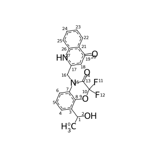 CC(O)c1cccc2c1OC(F)(F)C(=O)N2Cc1cc(=O)c2ccccc2[nH]1